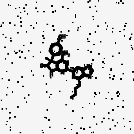 CCCCc1nc(-c2nc(N)c3c(n2)NC(=O)[C@]3(C)c2ccc(O)cc2)cn2ncnc12